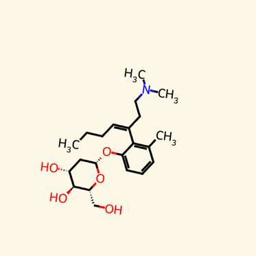 CCC/C=C(/CCN(C)C)c1c(C)cccc1O[C@H]1C[C@@H](O)[C@H](O)[C@@H](CO)O1